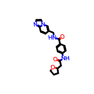 O=C(CC1CCCO1)Nc1ccc(C(=O)NCc2ccc3nccn3c2)cc1